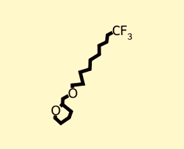 FC(F)(F)CCCCCCCCCOCC1CCCCO1